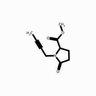 CC#CCN1C(=O)CCC1C(=O)OC